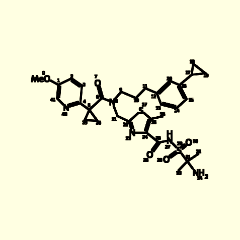 COc1ccc(C2(C(=O)N(CCCc3cccc(C4CC4)c3)Cc3nc(C(=O)NS(=O)(=O)C(C)(C)N)c(C)s3)CC2)nc1